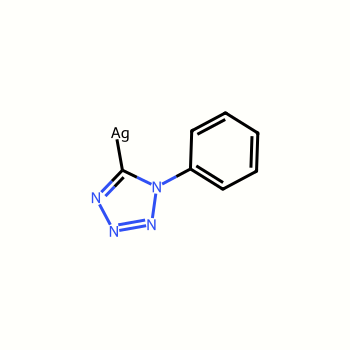 [Ag][c]1nnnn1-c1ccccc1